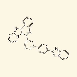 C1=CC2=NC3c4ccccc4N=C(c4cccc(-c5ccc(-c6cn7ccccc7n6)cc5)c4)C3N2C=C1